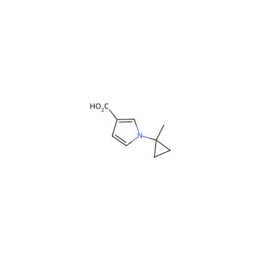 CC1(n2ccc(C(=O)O)c2)CC1